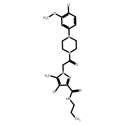 CCCNC(=O)c1nn(CC(=O)N2CCN(c3ccc(Cl)c(OC)c3)CC2)c(C)c1Cl